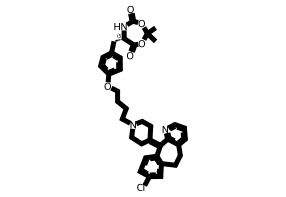 CC1(C)OC(=O)N[C@@H](Cc2ccc(OCCCCN3CCC(=C4c5ccc(Cl)cc5CCc5cccnc54)CC3)cc2)C(=O)O1